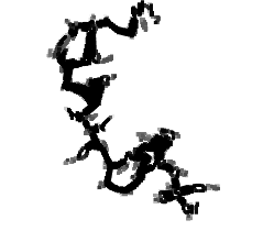 NCCn1nnc(CC(=O)NNC(=O)C2CCC3CN2C(=O)N3OS(=O)(=O)O)n1